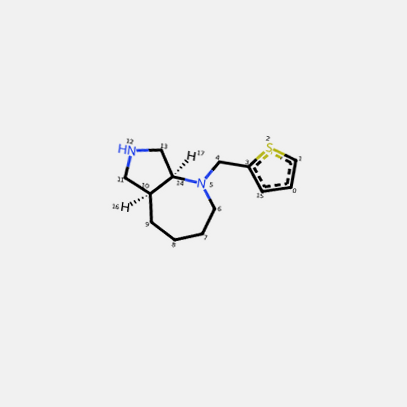 c1csc(CN2CCCC[C@H]3CNC[C@H]32)c1